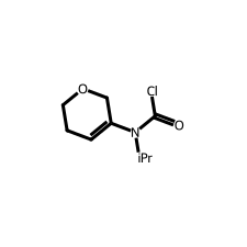 CC(C)N(C(=O)Cl)C1=CCCOC1